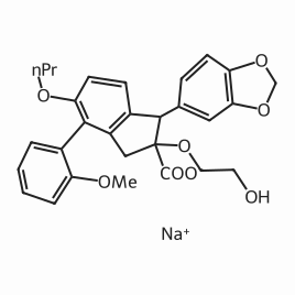 CCCOc1ccc2c(c1-c1ccccc1OC)CC(OCCO)(C(=O)[O-])C2c1ccc2c(c1)OCO2.[Na+]